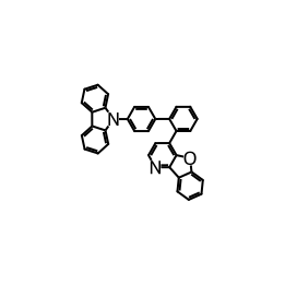 c1ccc(-c2ccnc3c2oc2ccccc23)c(-c2ccc(-n3c4ccccc4c4ccccc43)cc2)c1